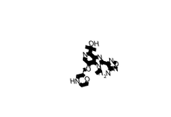 CCn1c(-c2nonc2N)nc2c(C(C)(C)O)ncc(OC[C@H]3CNCCO3)c21